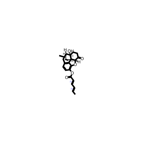 C/C=C/C=C/C(=O)Oc1ccc2c3c1O[C@H]1C(=O)CC[C@@]4(O)[C@@H](C2)N(C)CC[C@]314